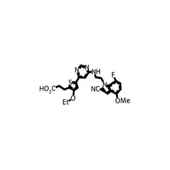 CCOc1cc(-c2cc(NCCn3c(C#N)cc4c(OC)ccc(F)c43)ncn2)sc1CCC(=O)O